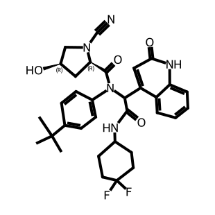 CC(C)(C)c1ccc(N(C(=O)[C@H]2C[C@@H](O)CN2C#N)C(C(=O)NC2CCC(F)(F)CC2)c2cc(=O)[nH]c3ccccc23)cc1